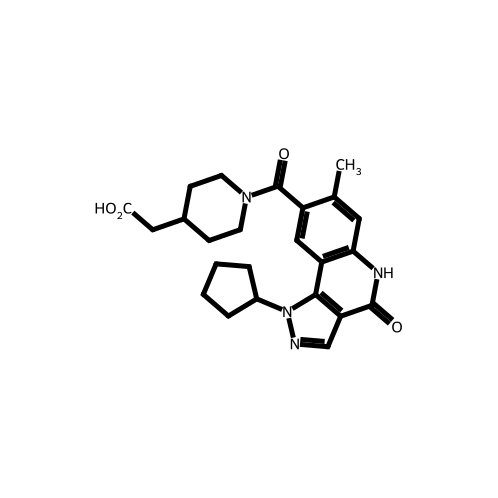 Cc1cc2[nH]c(=O)c3cnn(C4CCCC4)c3c2cc1C(=O)N1CCC(CC(=O)O)CC1